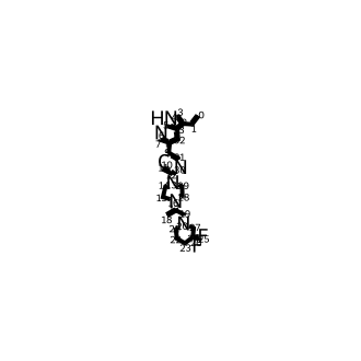 C=Cc1c[nH]c2ncc(-c3ccc(N4CCN(C(=C)CN5CCCC(F)(F)C5)CC4)nc3)cc12